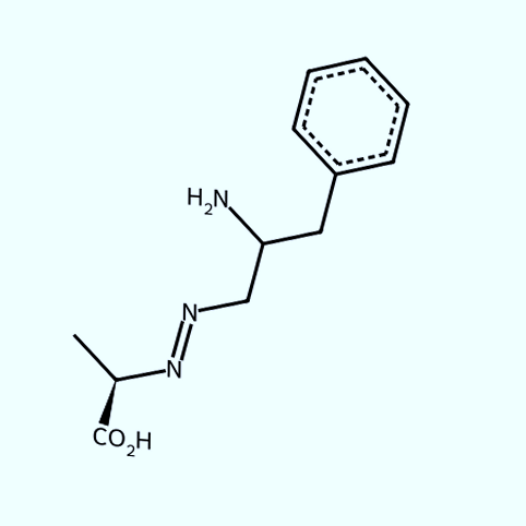 C[C@@H](/N=N/CC(N)Cc1ccccc1)C(=O)O